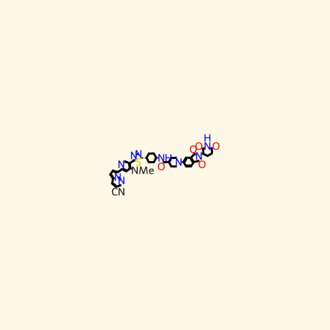 CNc1cc(-c2ccc3cc(C#N)cnn23)ncc1-c1nnc([C@H]2CC[C@H](NC(=O)C3CCN(c4ccc5c(c4)C(=O)N(C4CCC(=O)NC4=O)C5=O)CC3)CC2)s1